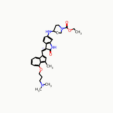 CCOC(=O)N1CCC(Nc2ccc3c(c2)NC(=O)/C3=C\c2cc(C)c3c(OCCCN(C)C)ccccc2-3)CC1